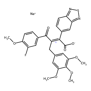 COc1ccc(C(=O)/C(Cc2cc(OC)c(OC)c(OC)c2)=C(/C(=O)[O-])c2ccc3nsnc3c2)cc1F.[Na+]